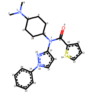 CN(C)C1CCC(N(C(=O)c2cccs2)c2ccn(-c3ccccc3)n2)CC1